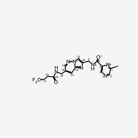 Cc1cncc(C(=O)NCc2cn3ncc(CNC(=O)CCC(F)(F)F)cc3n2)n1